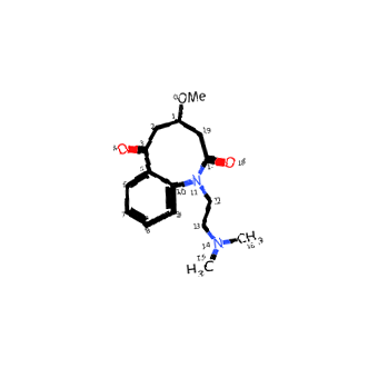 COC1CC(=O)c2ccccc2N(CCN(C)C)C(=O)C1